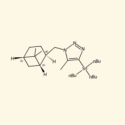 CCC[CH2][Sn]([CH2]CCC)([CH2]CCC)[c]1nnn(C[C@@H]2CC[C@H]3C[C@@H]2C3(C)C)c1C